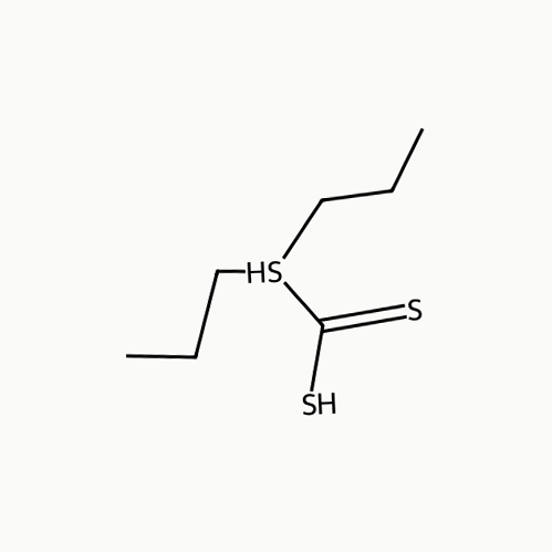 CCC[SH](CCC)C(=S)S